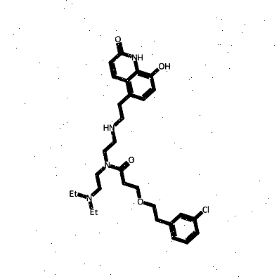 CCN(CC)CCN(CCNCCc1ccc(O)c2[nH]c(=O)ccc12)C(=O)CCOCCc1cccc(Cl)c1